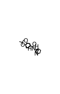 CC1COc2cc(C(=O)N[C@H]3CN4CCC3CC4)ccc2O1